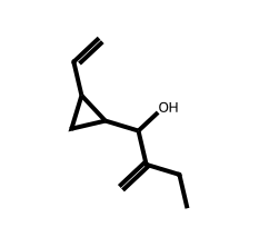 C=CC1CC1C(O)C(=C)CC